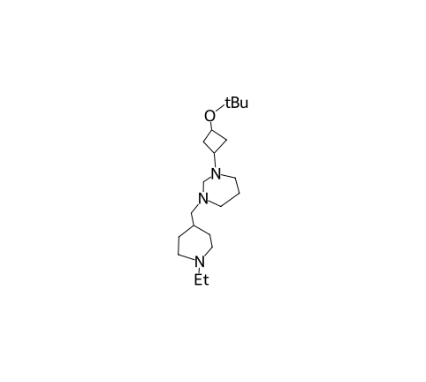 CCN1CCC(CN2CCCN(C3CC(OC(C)(C)C)C3)C2)CC1